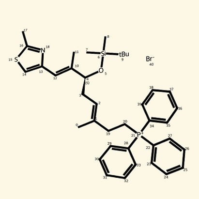 CC(=CC[C@H](O[Si](C)(C)C(C)(C)C)C(C)=Cc1csc(C)n1)CC[P+](c1ccccc1)(c1ccccc1)c1ccccc1.[Br-]